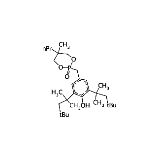 CCCC1(C)COP(=O)(Cc2cc(C(C)(C)CC(C)(C)C)c(O)c(C(C)(C)CC(C)(C)C)c2)OC1